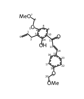 C=CCc1c(OCOC)ccc(C(=O)/C=C/c2ccc(OCOC)cc2)c1O